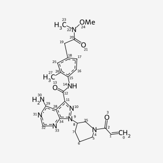 C=CC(=O)N1CCCC(n2nc(C(=O)Nc3ccc(CC(=O)N(C)OC)cc3C)c3c(N)ncnc32)C1